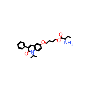 CCC(N)C(=O)OCCCCOc1ccc2c(c1)cc(-c1ccccc1)c(=O)n2C(C)C